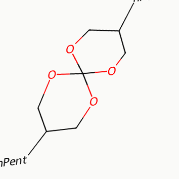 CCCCCC1COC2(OC1)OCC(CCCCC)CO2